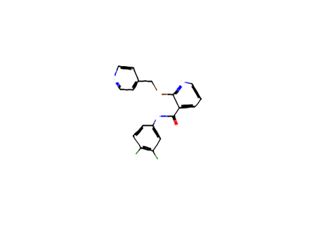 O=C(Nc1ccc(F)c(F)c1)c1cccnc1SCc1ccncc1